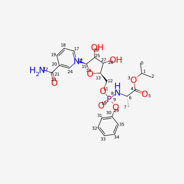 CC(C)OC(=O)[C@H](C)NP(=O)(OC[C@H]1O[C@@H]([n+]2cccc(C(N)=O)c2)C(O)C1O)Oc1ccccc1